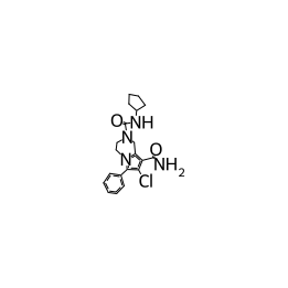 NC(=O)c1c(Cl)c(-c2ccccc2)n2c1CN(C(=O)NC1CCCC1)CC2